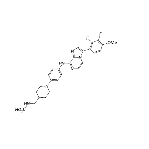 COc1ccc(-c2cnc3c(Nc4ccc(N5CCC(CNC(=O)O)CC5)cc4)nccn23)c(F)c1F